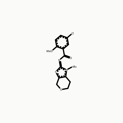 CCCCn1c2c(sc1=NC(=O)c1cc(Cl)ccc1OC)COCC2